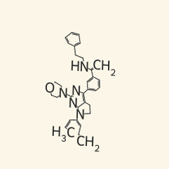 C=C/C=C(\C=C/C)N1CCc2c(-c3cccc(C(=C)NCCc4ccccc4)c3)nc(N3CCOCC3)nc21